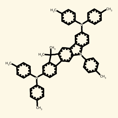 Cc1ccc(N(c2ccc(C)cc2)c2ccc3c(c2)C(C)(C)c2cc4c5cc(N(c6ccc(C)cc6)c6ccc(C)cc6)ccc5n(-c5ccc(C)cc5)c4cc2-3)cc1